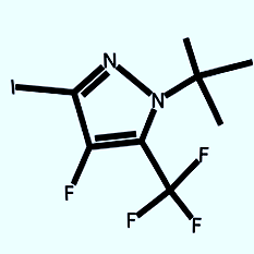 CC(C)(C)n1nc(I)c(F)c1C(F)(F)F